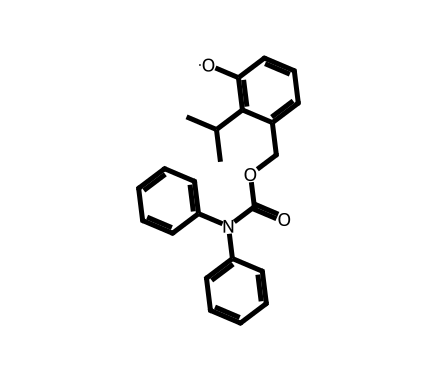 CC(C)c1c([O])cccc1COC(=O)N(c1ccccc1)c1ccccc1